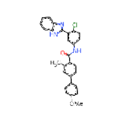 COc1ccc(-c2ccc(C(=O)Nc3ccc(Cl)c(-c4nc5ccccc5[nH]4)c3)c(C)c2)cc1